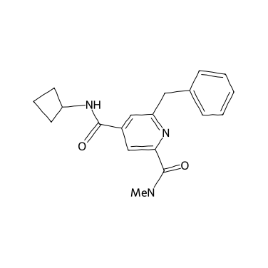 CNC(=O)c1cc(C(=O)NC2CCC2)cc(Cc2ccccc2)n1